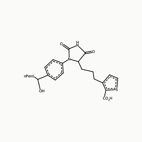 CCCCCC(O)c1ccc(N2C(=O)NC(=O)C2CCCc2ccsc2C(=O)O)cc1